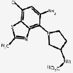 Cc1nc2c(N3CCC(NC(=O)O)C3)c(N)cc(Cl)c2s1